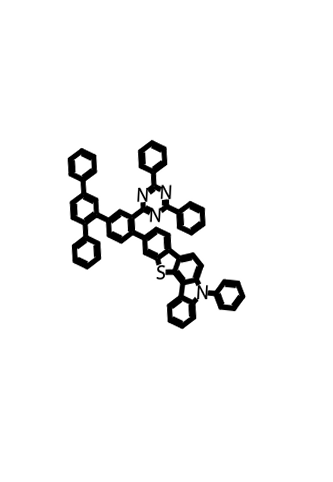 c1ccc(-c2ccc(-c3ccccc3)c(-c3ccc(-c4ccc5c(c4)sc4c5ccc5c4c4ccccc4n5-c4ccccc4)c(-c4nc(-c5ccccc5)nc(-c5ccccc5)n4)c3)c2)cc1